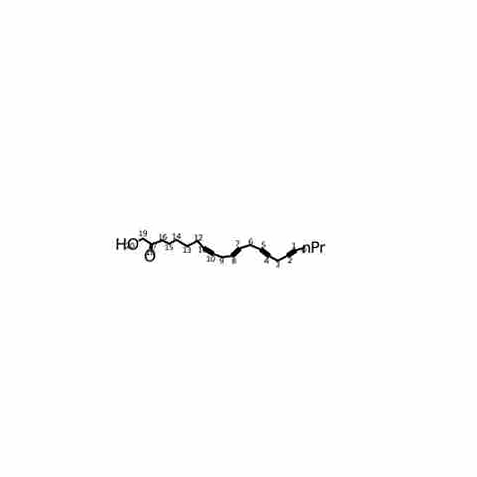 CCCC#CCC#CCC#CCC#CCCCCCC(=O)CO